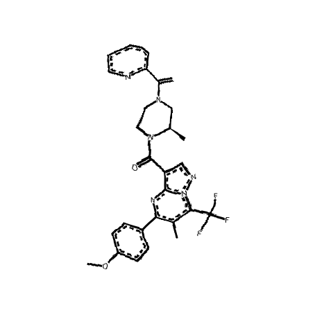 C=C(c1ccccn1)N1CCN(C(=O)c2cnn3c(C(F)(F)F)c(C)c(-c4ccc(OC)cc4)nc23)[C@H](C)C1